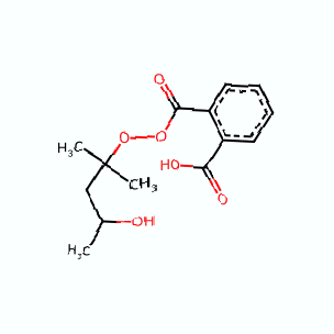 CC(O)CC(C)(C)OOC(=O)c1ccccc1C(=O)O